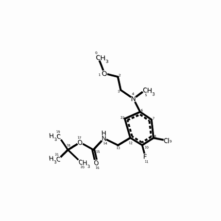 COCCN(C)c1cc(Cl)c(F)c(CNC(=O)OC(C)(C)C)c1